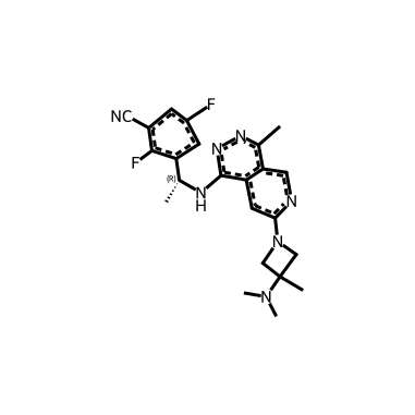 Cc1nnc(N[C@H](C)c2cc(F)cc(C#N)c2F)c2cc(N3CC(C)(N(C)C)C3)ncc12